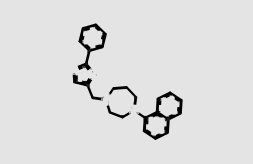 c1ccc(-c2nc(CN3CCCN(c4cccc5ccccc45)CC3)cs2)cc1